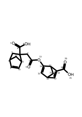 O=C(CC1(C(=O)O)CC2C=CC1C2)OC1=CC2C=C(C(=O)O)C1C2